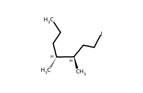 CCC[C@@H](C)[C@H](C)CCI